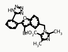 Cc1nc(C)n(Cc2ccc3oc(-c4ccccc4-c4nnn[nH]4)c(Br)c3c2)c1C(=O)O